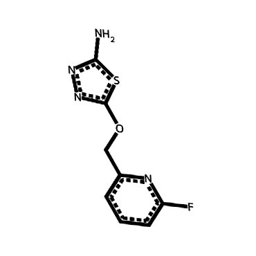 Nc1nnc(OCc2cccc(F)n2)s1